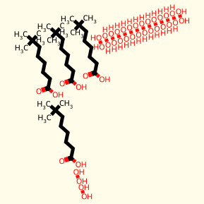 CC(C)(C)CCCCCC(=O)O.CC(C)(C)CCCCCC(=O)O.CC(C)(C)CCCCCC(=O)O.CC(C)(C)CCCCCC(=O)O.OO.OO.OO.OO.OO.OO.OO.OO.OO.OO.OO.OO.OO.OO.OO.OO